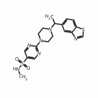 CNS(=O)(=O)c1cnc(N2CCN(C(C)c3ccc4scnc4c3)CC2)nc1